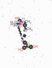 Cc1ncsc1-c1ccc([C@H](C)NC(=O)[C@@H]2C[C@H](O)CN2C(=O)[C@@H](NC(=O)CCCCCCCN(CCOc2ccc(C(=O)c3c(-c4ccc(O)cc4)sc4cc(O)ccc34)cc2)C2CCC2)C(C)(C)C)cc1